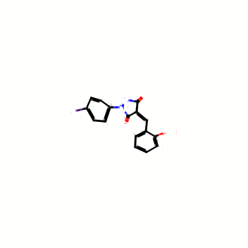 O=C1NN(c2ccc(I)cc2)C(=O)C1=Cc1ccccc1O